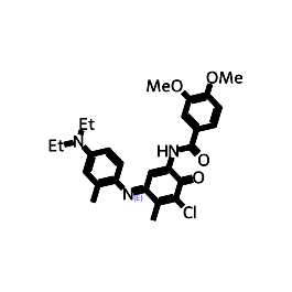 CCN(CC)c1ccc(/N=C2\C=C(NC(=O)c3ccc(OC)c(OC)c3)C(=O)C(Cl)=C2C)c(C)c1